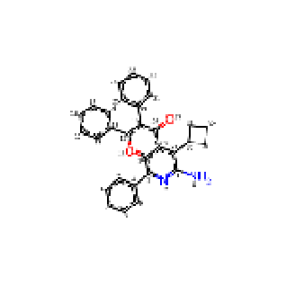 Nc1nc(-c2ccccc2)c2oc(-c3ccccc3)c(-c3ccccc3)c(=O)c2c1C1CCC1